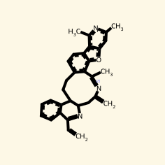 C=CC1=NC2CC(=C)/N=C(/C)c3c(ccc4c3oc3cc(C)nc(C)c34)CCC2c2ccccc21